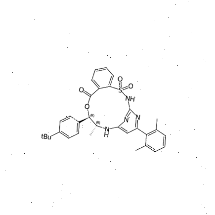 Cc1cccc(C)c1-c1cc2nc(n1)NS(=O)(=O)c1ccccc1C(=O)O[C@H](c1ccc(C(C)(C)C)cc1)[C@@H](C)N2